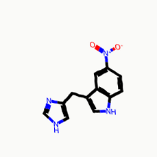 O=[N+]([O-])c1ccc2[nH]cc(Cc3c[nH]cn3)c2c1